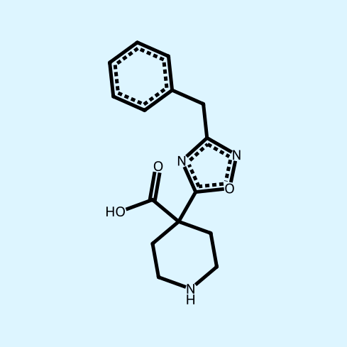 O=C(O)C1(c2nc(Cc3ccccc3)no2)CCNCC1